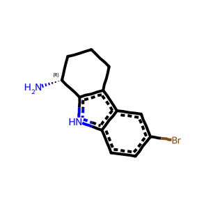 N[C@@H]1CCCc2c1[nH]c1ccc(Br)cc21